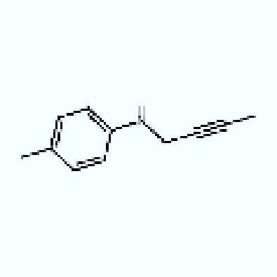 CC#C[CH]Nc1ccc(C)cc1